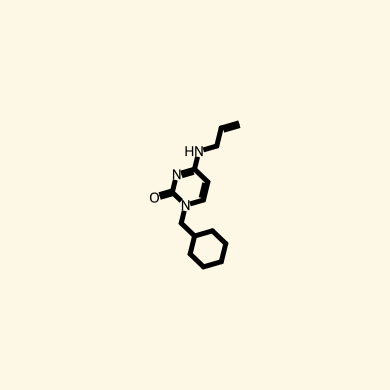 C=CCNc1ccn(CC2CCCCC2)c(=O)n1